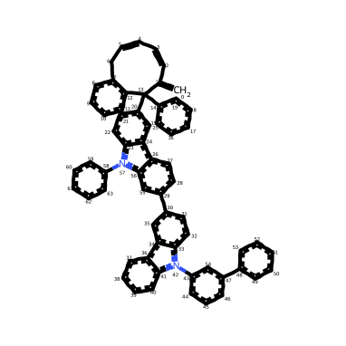 C=C1/C=C\C=C/Cc2ccccc2C1(c1ccccc1)c1ccc2c(c1)c1ccc(-c3ccc4c(c3)c3ccccc3n4-c3cccc(-c4ccccc4)c3)cc1n2-c1ccccc1